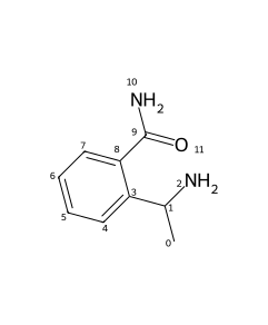 CC(N)c1ccccc1C(N)=O